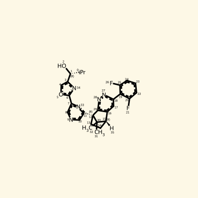 CC(C)[C@@H](O)c1coc(-c2cncc([C@]34CC[C@@H](c5cc(-c6c(F)cccc6F)nnc53)C4(C)C)n2)n1